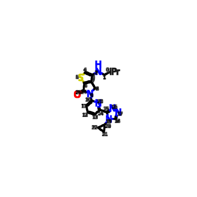 CC(C)CNc1csc2c1CN(c1cccc(-c3nncn3C3CC3)n1)C2=O